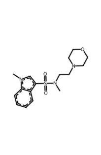 CN(CCN1CCOCC1)S(=O)(=O)c1cn(C)c2ccccc12